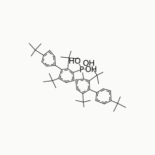 CC(C)(C)c1ccc(-c2c(C(C)(C)C)ccc(P(O)(O)(O)c3ccc(C(C)(C)C)c(-c4ccc(C(C)(C)C)cc4)c3C(C)(C)C)c2C(C)(C)C)cc1